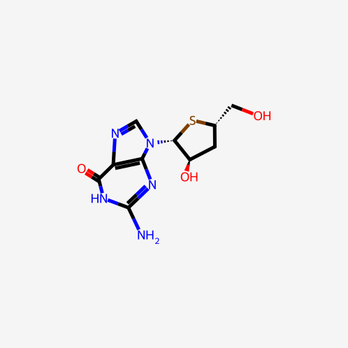 Nc1nc2c(ncn2[C@@H]2S[C@H](CO)C[C@H]2O)c(=O)[nH]1